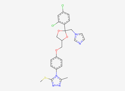 CSc1nnc(C)n1-c1ccc(OCC2COC(Cn3ccnc3)(c3ccc(Cl)cc3Cl)O2)cc1